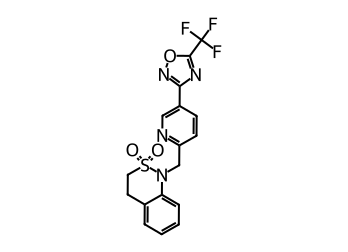 O=S1(=O)CCc2ccccc2N1Cc1ccc(-c2noc(C(F)(F)F)n2)cn1